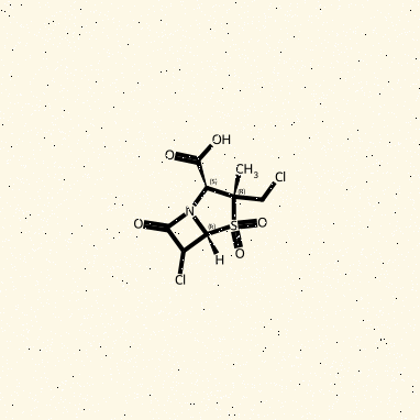 C[C@]1(CCl)[C@H](C(=O)O)N2C(=O)C(Cl)[C@H]2S1(=O)=O